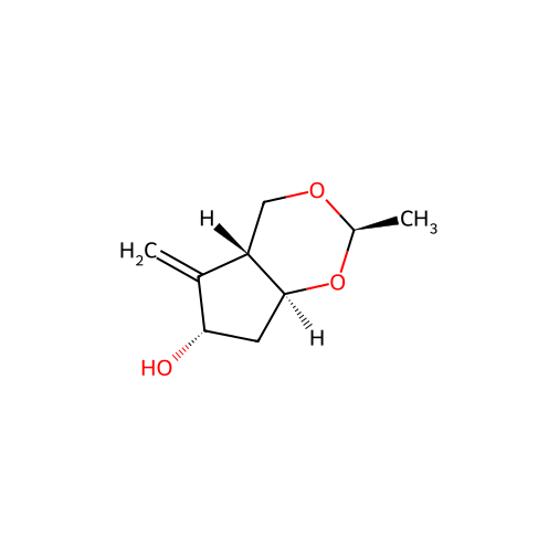 C=C1[C@@H](O)C[C@@H]2O[C@H](C)OC[C@@H]12